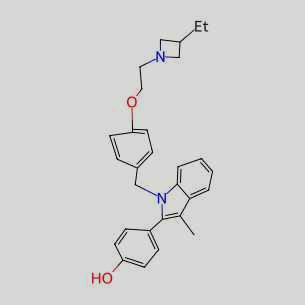 CCC1CN(CCOc2ccc(Cn3c(-c4ccc(O)cc4)c(C)c4ccccc43)cc2)C1